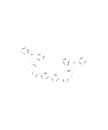 O=C(N[C@@H](C(=O)N1CCC[C@H]1c1ncc(-c2ccc(-c3ccc(-c4cnc([C@@H]5CCCN5C(=O)[C@H](NC(=O)c5cccnc5)c5ccccc5)s4)cc3)cc2)s1)c1ccccc1)c1cccnc1